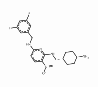 N[C@H]1CC[C@H](CNc2nc(NCc3cc(F)cc(F)c3)ncc2[N+](=O)[O-])CC1